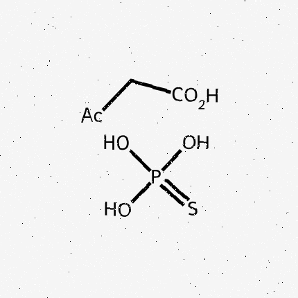 CC(=O)CC(=O)O.OP(O)(O)=S